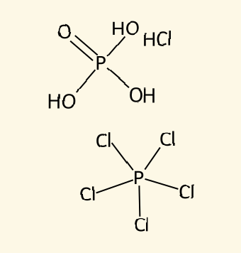 Cl.ClP(Cl)(Cl)(Cl)Cl.O=P(O)(O)O